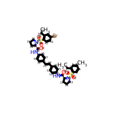 CCc1cc(C)ccc1S(=O)(=O)N1CCC[C@H]1C(=O)Nc1ccc(/C=C/c2ccc(NC(=O)[C@@H]3CCCN3S(=O)(=O)c3ccc(Br)cc3CC)cc2)cc1